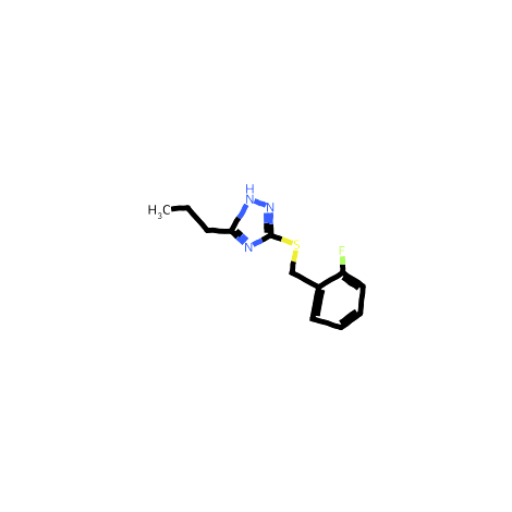 CCCc1nc(SCc2ccccc2F)n[nH]1